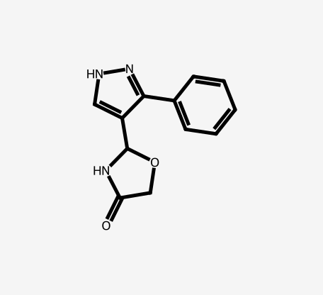 O=C1COC(c2c[nH]nc2-c2ccccc2)N1